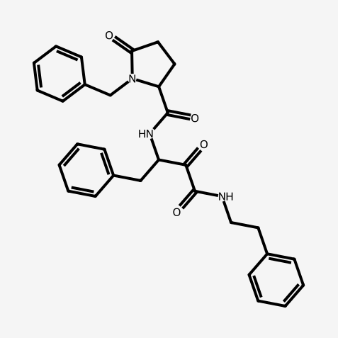 O=C(NCCc1ccccc1)C(=O)C(Cc1ccccc1)NC(=O)C1CCC(=O)N1Cc1ccccc1